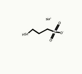 O=S(=O)([O-])CCC[SeH].[Na+]